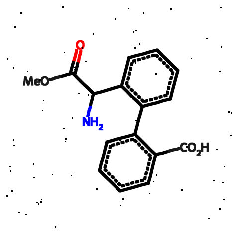 COC(=O)C(N)c1ccccc1-c1ccccc1C(=O)O